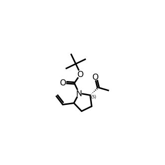 C=CC1CC[C@@H](C(C)=O)N1C(=O)OC(C)(C)C